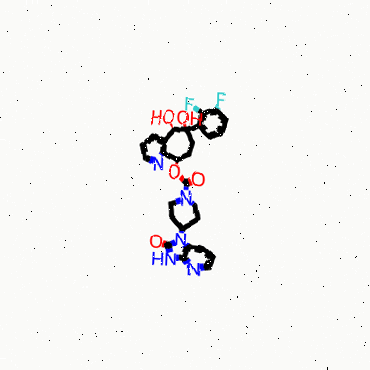 O=C(O[C@@H]1CC[C@@](O)(c2cccc(F)c2F)[C@@H](O)c2cccnc21)N1CCC(n2c(=O)[nH]c3ncccc32)CC1